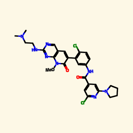 COn1c(=O)c(-c2cc(NC(=O)c3cc(Cl)nc(N4CCCC4)c3)ccc2Cl)cc2cnc(NCCN(C)C)nc21